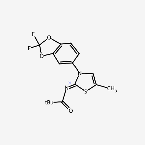 Cc1cn(-c2ccc3c(c2)OC(F)(F)O3)/c(=N/C(=O)C(C)(C)C)s1